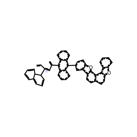 C=C/C(=C\C(=C)c1c2ccccc2c(-c2ccc3oc4c(ccc5ccc6oc7ccccc7c6c54)c3c2)c2ccccc12)C1C=CC=C2C=CC=CC21